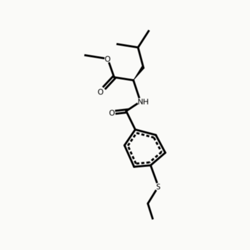 CCSc1ccc(C(=O)N[C@H](CC(C)C)C(=O)OC)cc1